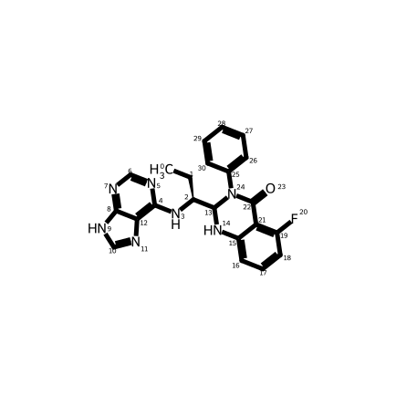 CC[C@H](Nc1ncnc2[nH]cnc12)C1Nc2cccc(F)c2C(=O)N1c1ccccc1